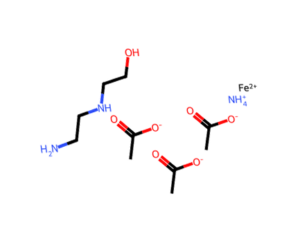 CC(=O)[O-].CC(=O)[O-].CC(=O)[O-].NCCNCCO.[Fe+2].[NH4+]